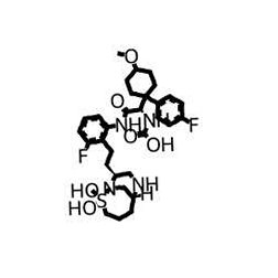 COC1CCC(c2ccc(F)cc2)([C@H](NC(=O)O)C(=O)Nc2cccc(F)c2CC[C@H]2CN[C@@H]3CCCS(O)(O)N2C3)CC1